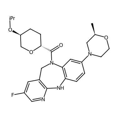 CC(C)O[C@H]1CC[C@H](C(=O)N2Cc3cc(F)cnc3Nc3ccc(N4CCO[C@H](C)C4)cc32)OC1